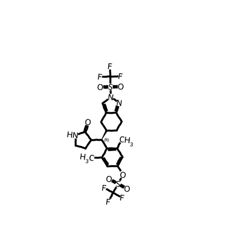 Cc1cc(OS(=O)(=O)C(F)(F)F)cc(C)c1[C@H](C1CCc2nn(S(=O)(=O)C(F)(F)F)cc2C1)C1CCNC1=O